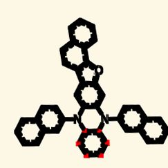 c1ccc(N(c2ccc3ccccc3c2)c2cc3oc4c5ccccc5ccc4c3cc2N(c2ccccc2)c2ccc3ccccc3c2)cc1